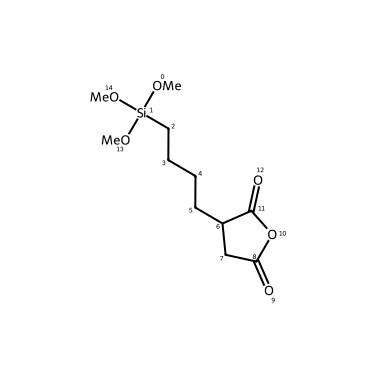 CO[Si](CCCCC1CC(=O)OC1=O)(OC)OC